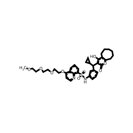 COCCOCCOCCOc1ccnc2c(S(=O)(=O)Nc3cccc(C(c4c(O)c5c(oc4=O)CCCCCC5)C4CC4)c3)cccc12